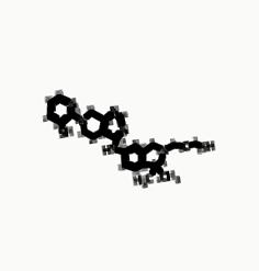 CC1(C)CN(CCCS)Cc2cc(Nc3ncnc4c3CCN(c3ncccc3S)C4)ccc21